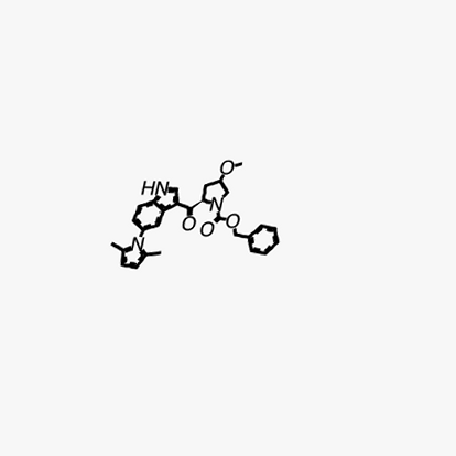 COC1C[C@H](C(=O)c2c[nH]c3ccc(-n4c(C)ccc4C)cc23)N(C(=O)OCc2ccccc2)C1